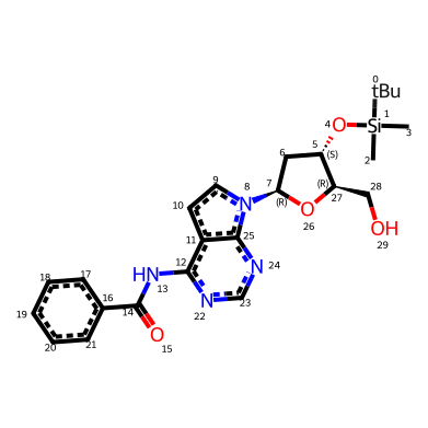 CC(C)(C)[Si](C)(C)O[C@H]1C[C@H](n2ccc3c(NC(=O)c4ccccc4)ncnc32)O[C@@H]1CO